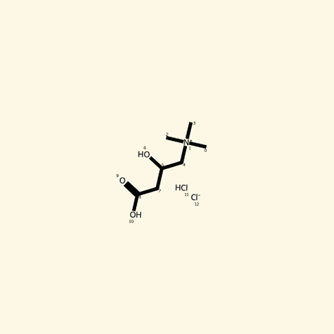 C[N+](C)(C)CC(O)CC(=O)O.Cl.[Cl-]